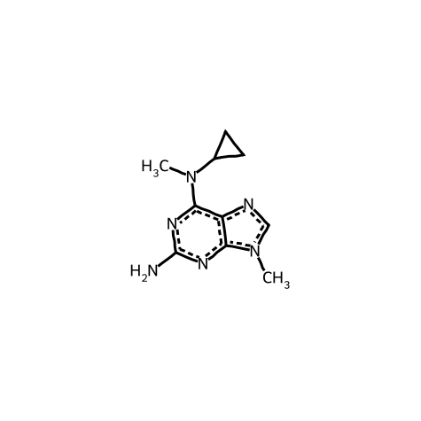 CN(c1nc(N)nc2c1ncn2C)C1CC1